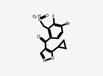 O=C(c1cnoc1C1CC1)c1ccc(Br)c(F)c1C[SH](=O)=O